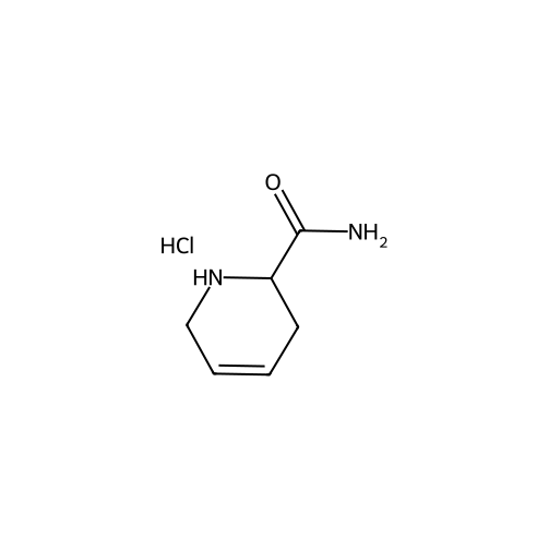 Cl.NC(=O)C1CC=CCN1